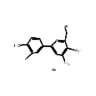 Cc1ccc(-c2cc(C(F)(F)F)c(C(=O)O)c(CC(C)C)n2)cc1F.[Na]